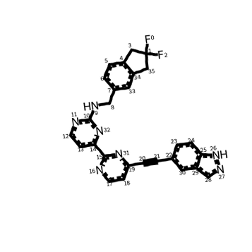 FC1(F)Cc2ccc(CNc3nccc(-c4nccc(C#Cc5ccc6[nH]ncc6c5)n4)n3)cc2C1